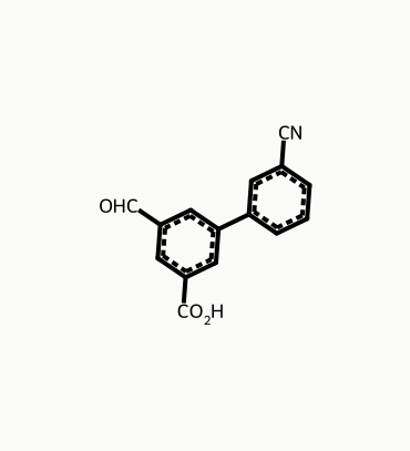 N#Cc1cccc(-c2cc(C=O)cc(C(=O)O)c2)c1